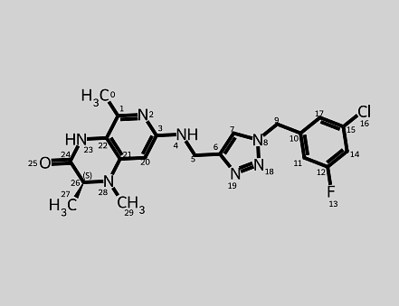 Cc1nc(NCc2cn(Cc3cc(F)cc(Cl)c3)nn2)cc2c1NC(=O)[C@H](C)N2C